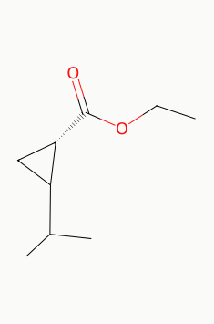 CCOC(=O)[C@H]1CC1C(C)C